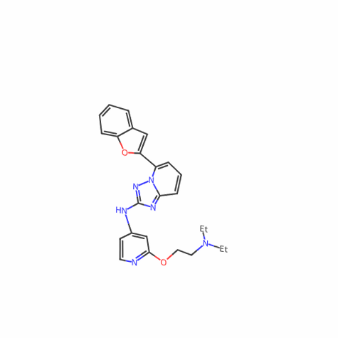 CCN(CC)CCOc1cc(Nc2nc3cccc(-c4cc5ccccc5o4)n3n2)ccn1